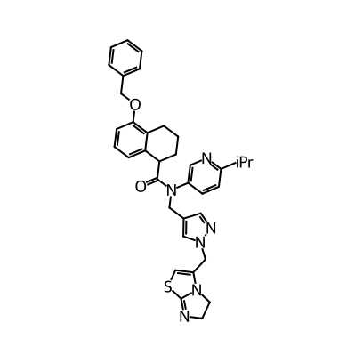 CC(C)c1ccc(N(Cc2cnn(CC3=CSC4=NCCN34)c2)C(=O)C2CCCc3c(OCc4ccccc4)cccc32)cn1